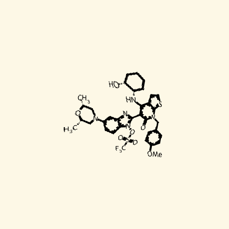 COc1ccc(Cn2c(=O)c(-c3nc4cc(N5C[C@@H](C)O[C@@H](C)C5)ccc4n3OS(=O)(=O)C(F)(F)F)c(N[C@H]3CCCC[C@H]3O)c3ccsc32)cc1